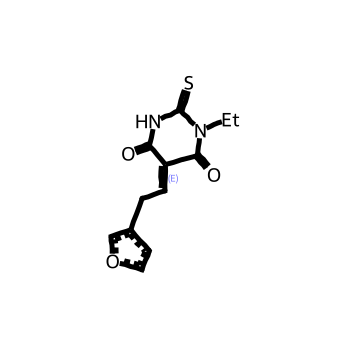 CCN1C(=O)/C(=C/Cc2ccoc2)C(=O)NC1=S